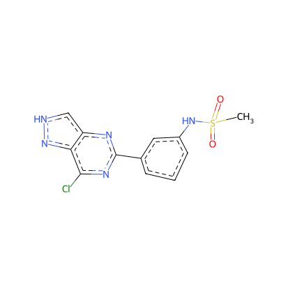 CS(=O)(=O)Nc1cccc(-c2nc(Cl)c3n[nH]cc3n2)c1